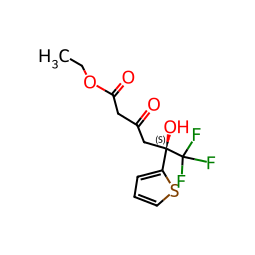 CCOC(=O)CC(=O)C[C@@](O)(c1cccs1)C(F)(F)F